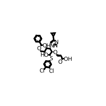 O=C(O)/C=C/O[C@@H]1[C@@H](n2cc(C3CC3)nn2)[C@H]2OC(c3ccccc3)OC[C@H]2O[C@@H]1Sc1ccc(Cl)c(Cl)c1